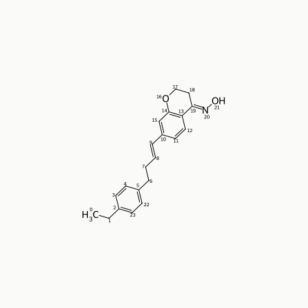 CCc1ccc(CC/C=C/c2ccc3c(c2)OCC/C3=N\O)cc1